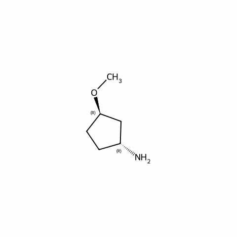 CO[C@@H]1CC[C@@H](N)C1